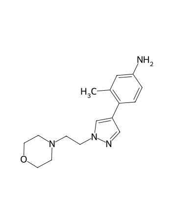 Cc1cc(N)ccc1-c1cnn(CCN2CCOCC2)c1